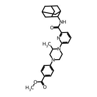 COC(=O)c1ccc(N2CCN(c3cccc(C(=O)NC4C5CC6CC(C5)CC4C6)n3)C(C)C2)cc1